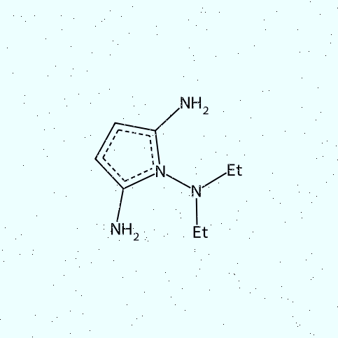 CCN(CC)n1c(N)ccc1N